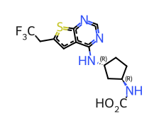 O=C(O)N[C@@H]1CC[C@@H](Nc2ncnc3sc(CC(F)(F)F)cc23)C1